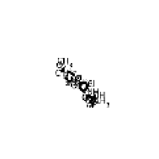 COCC(=O)N1CCN(S(=O)(=O)c2ccc(NC(=O)[C@@](C)(O)C(F)(F)F)c(Cl)c2)CC1